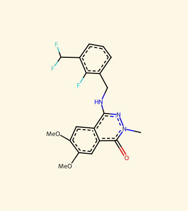 COc1cc2c(NCc3cccc(C(F)F)c3F)nn(C)c(=O)c2cc1OC